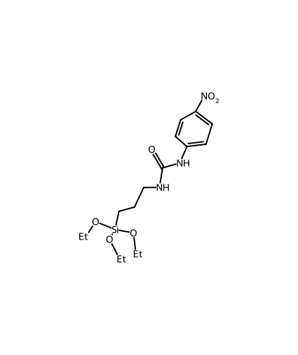 CCO[Si](CCCNC(=O)Nc1ccc([N+](=O)[O-])cc1)(OCC)OCC